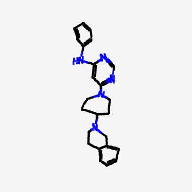 c1ccc(Nc2cc(N3CCC(N4CCc5ccccc5C4)CC3)ncn2)cc1